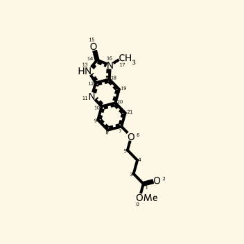 COC(=O)CCCOc1ccc2nc3[nH]c(=O)n(C)c3cc2c1